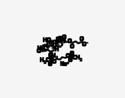 CS(=O)(=O)OCCCCOS(C)(=O)=O.C[C@H]1C[C@@H]2[C@H]([C@@H](O)C[C@@]3(C)[C@H]2CC[C@]3(O)C(=O)COC(=O)CCC(=O)[O-])[C@@]2(C)C=CC(=O)C=C12.[Na+]